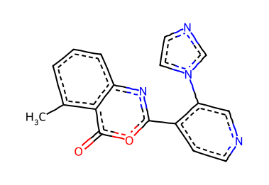 Cc1cccc2nc(-c3ccncc3-n3ccnc3)oc(=O)c12